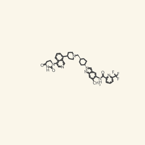 Cc1cc2nn([C@H]3CC[C@H](CN4CCC(c5cccc6c(N7CCC(=O)NC7=O)cncc56)CC4)CC3)cc2cc1NC(=O)c1cccc(C(F)(F)F)n1